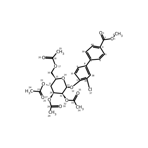 COC(=O)c1ccc(-c2ccc(O[C@@H]3O[C@H](COC(C)=O)[C@@H](OC(C)=O)[C@H](OC(C)=O)[C@@H]3OC(C)=O)c(Cl)c2)cc1